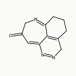 O=C1C=C2N=NCC3=C2C(=NC1)CCC3